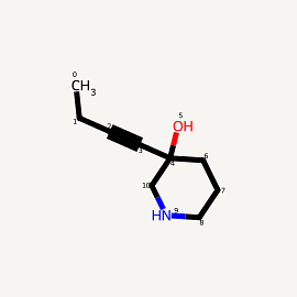 CCC#CC1(O)CCCNC1